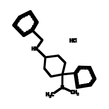 CN(C)C1(c2ccccc2)CCC(NCc2ccccc2)CC1.Cl